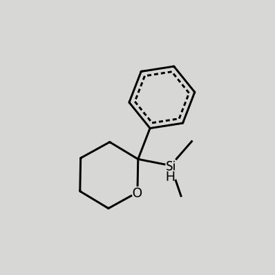 C[SiH](C)C1(c2ccccc2)CCCCO1